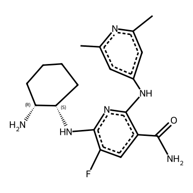 Cc1cc(Nc2nc(N[C@H]3CCCC[C@H]3N)c(F)cc2C(N)=O)cc(C)n1